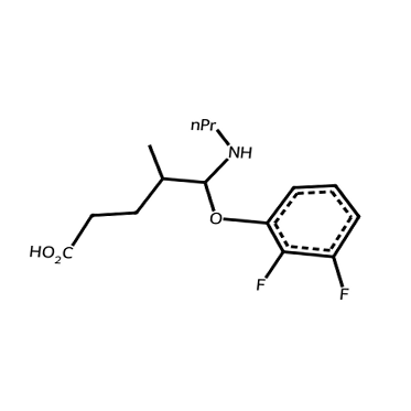 CCCNC(Oc1cccc(F)c1F)C(C)CCC(=O)O